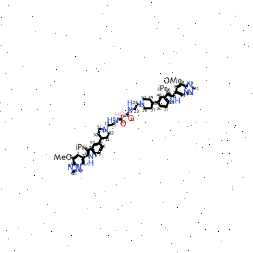 COc1cc(-c2[nH]c3ccc(C4CCN(CCNC(=O)BC(=O)NCCN5CCC(c6ccc7[nH]c(-c8cc(OC)c9ncnn9c8)c(C(C)C)c7c6)CC5)CC4)cc3c2C(C)C)cn2ncnc12